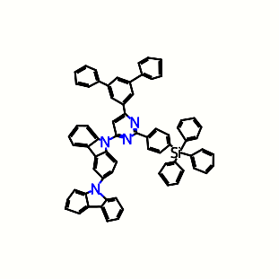 c1ccc(-c2cc(-c3ccccc3)cc(-c3cc(-n4c5ccccc5c5cc(-n6c7ccccc7c7ccccc76)ccc54)nc(-c4ccc([Si](c5ccccc5)(c5ccccc5)c5ccccc5)cc4)n3)c2)cc1